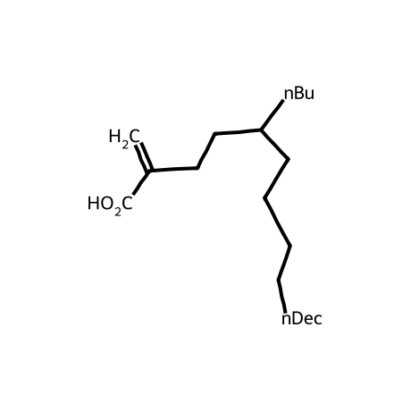 C=C(CCC(CCCC)CCCCCCCCCCCCCC)C(=O)O